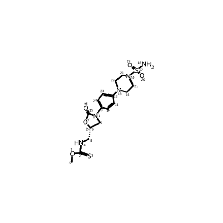 COC(=S)NC[C@H]1CN(c2ccc(N3CCN(S(N)(=O)=O)CC3)cc2)C(=O)O1